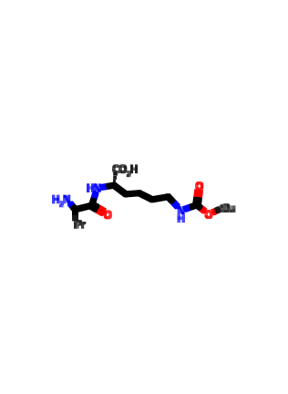 CC(C)C(N)C(=O)N[C@@H](CCCCNC(=O)OC(C)(C)C)C(=O)O